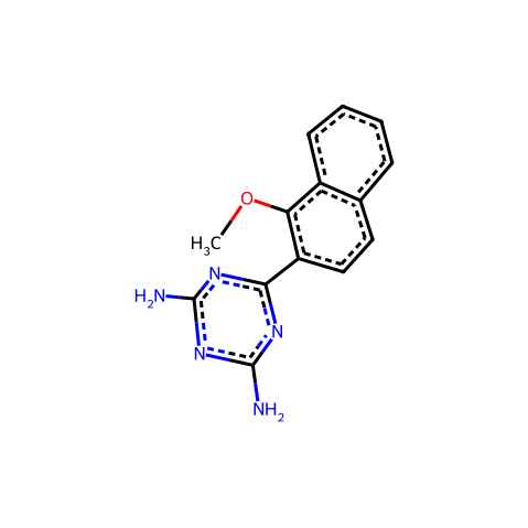 COc1c(-c2nc(N)nc(N)n2)ccc2ccccc12